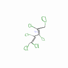 ClC/C(Cl)=C(\Cl)C(Cl)=C(Cl)Cl